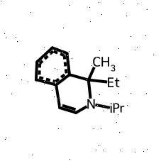 CCC1(C)c2ccccc2C=CN1C(C)C